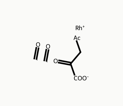 CC(=O)CC(=O)C(=O)[O-].[C]=O.[C]=O.[Rh+]